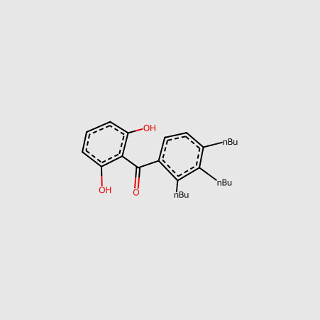 CCCCc1ccc(C(=O)c2c(O)cccc2O)c(CCCC)c1CCCC